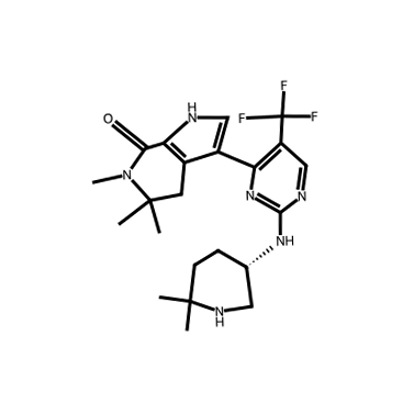 CN1C(=O)c2[nH]cc(-c3nc(N[C@H]4CCC(C)(C)NC4)ncc3C(F)(F)F)c2CC1(C)C